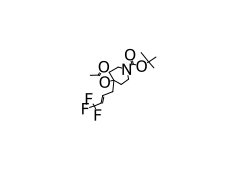 CC(=O)OC1(CC=CC(F)(F)F)CCN(C(=O)OC(C)(C)C)CC1